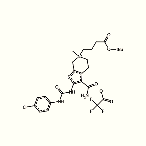 CC(C)(C)OC(=O)CCC[N+]1(C)CCc2c(sc(NC(=O)Nc3ccc(Cl)cc3)c2C(N)=O)C1.O=C([O-])C(F)(F)F